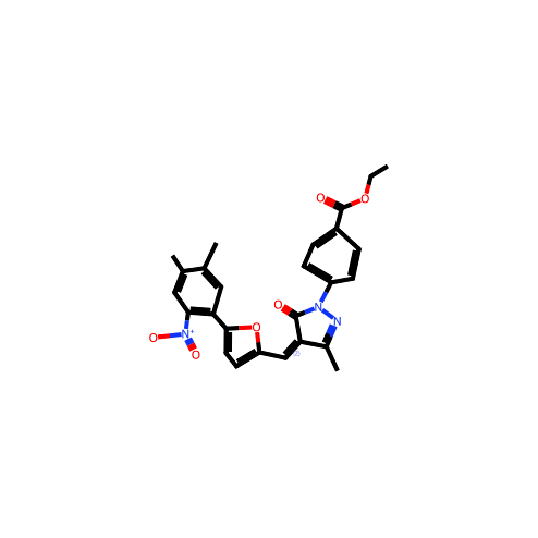 CCOC(=O)c1ccc(N2N=C(C)/C(=C/c3ccc(-c4cc(C)c(C)cc4[N+](=O)[O-])o3)C2=O)cc1